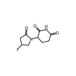 O=C1CCC(N2CC(I)CC2=O)C(=O)N1